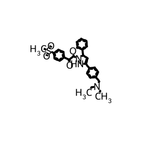 CCN(CC)Cc1ccc(C2=CC3c4ccccc4OC(C(=O)c4ccc(S(C)(=O)=O)cc4)N3N2)cc1